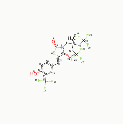 CC(CN1C(=O)S/C(=C\c2ccc(O)c(C(F)(F)F)c2)C1=O)(CC(F)(F)F)CC(F)(F)F